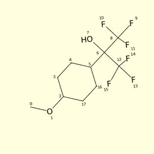 COC1CCC(C(O)(C(F)(F)F)C(F)(F)F)CC1